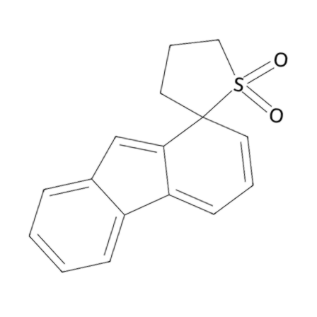 O=S1(=O)CCCC12C=CC=C1C2=Cc2ccccc21